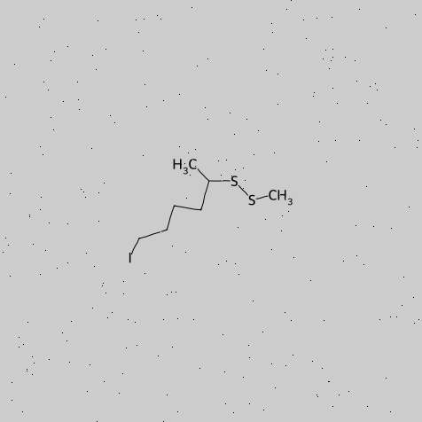 CSSC(C)CCCCI